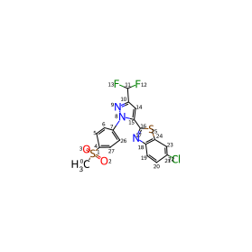 CS(=O)(=O)c1ccc(-n2nc(C(F)F)cc2-c2nc3ccc(Cl)cc3s2)cc1